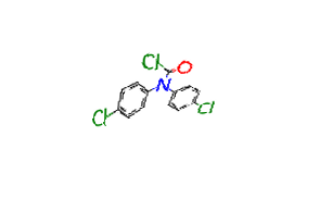 O=C(Cl)N(c1ccc(Cl)cc1)c1ccc(Cl)cc1